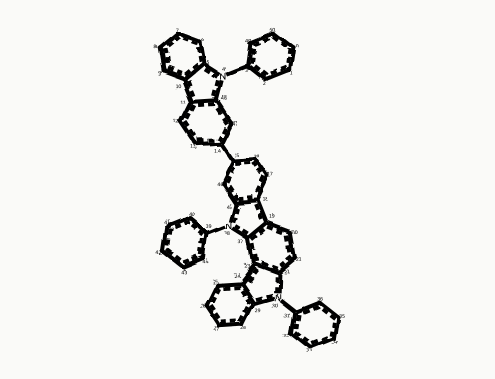 c1ccc(-n2c3ccccc3c3ccc(-c4ccc5c6ccc7c(c8ccccc8n7-c7ccccc7)c6n(-c6ccccc6)c5c4)cc32)cc1